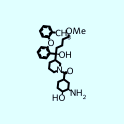 COCCCC[C@@](O)(c1ccccc1Oc1ccccc1C)C1CCCN(C(=O)C2CC[C@H](O)[C@H](N)C2)C1